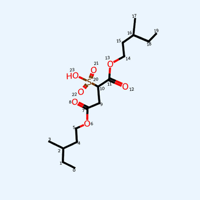 CCC(C)CCOC(=O)CC(C(=O)OCCC(C)CC)S(=O)(=O)O